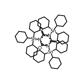 O=c1[n]([Sn]([CH]2CCCCC2)([CH]2CCCCC2)[CH]2CCCCC2)c(=O)[n]([Sn]([CH]2CCCCC2)([CH]2CCCCC2)[CH]2CCCCC2)c(=O)[n]1[Sn]([CH]1CCCCC1)([CH]1CCCCC1)[CH]1CCCCC1